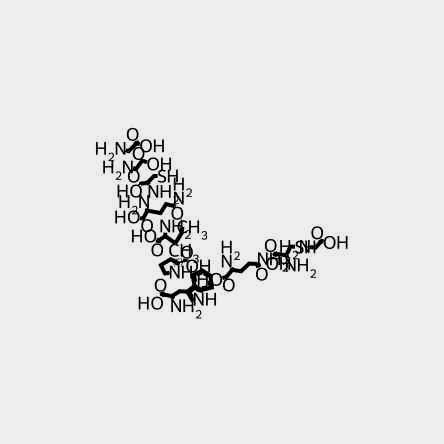 CCC(C)C(N)C(=O)O.NC(=O)CCC(N)C(=O)O.NC(=O)CCC(N)C(=O)O.NC(CS)C(=O)O.NC(CS)C(=O)O.NC(Cc1c[nH]c2ccccc12)C(=O)O.NCC(=O)O.NCC(=O)O.NCC(=O)O.O=C(O)[C@@H]1CCCN1